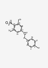 Cc1ccc(COc2cc(C)c([N+](=O)[O-])c(C)c2)cc1